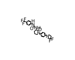 O=C(Nc1ccc(C(F)(F)F)cc1)NC1CCCN(c2ccc(N3CCC(F)(F)C3)cc2)C1=O